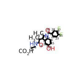 Cc1c(C(C)C(=O)NCCC(=O)O)c2cc(O)ccc2n1C(=O)c1ccc(F)c(F)c1